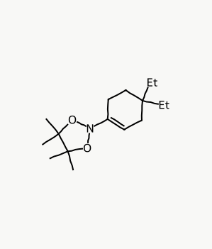 CCC1(CC)CC=C(N2OC(C)(C)C(C)(C)O2)CC1